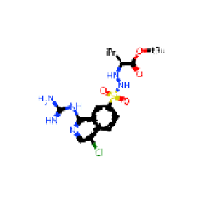 CC(C)[C@H](NNS(=O)(=O)c1ccc2c(Cl)cnc(NC(=N)N)c2c1)C(=O)OC(C)(C)C